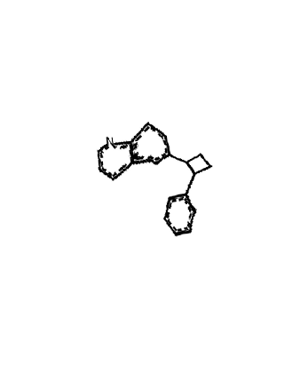 c1ccc(C2CCC2c2ccc3ncccc3c2)cc1